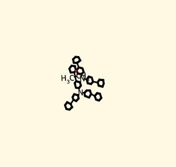 CC(C)(c1ccccc1)c1ccc(N(c2ccc(-c3ccccc3)cc2)c2ccc(-c3ccccc3)cc2)cc1N(c1ccc(-c2ccccc2)cc1)c1ccc(-c2ccccc2)cc1